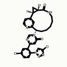 O=C1NCCCCC[C@H](n2cnc(-c3cc(Cl)ccc3-n3cc(Cl)nn3)cc2=O)c2cc(ccn2)[C@@H]2C[C@H]12